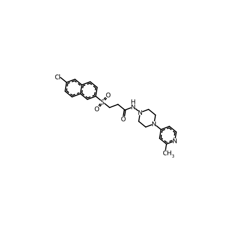 Cc1cc(N2CCN(NC(=O)CCS(=O)(=O)c3ccc4cc(Cl)ccc4c3)CC2)ccn1